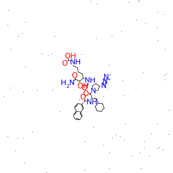 [N-]=[N+]=N[C@H]1C[C@@H](C(=O)NC(CCCCNC(=O)O)C(O)C(N)=O)N(C(=O)[C@@H](CC2CCCCC2)NC(=O)c2ccc3ccccc3c2)C1